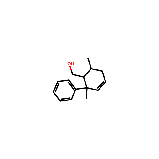 CC1CC=CC(C)(c2ccccc2)C1CO